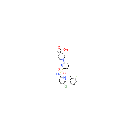 Cc1c(F)cccc1-c1nc(NS(=O)(=O)c2cccc(N3CCC(C)(C(=O)O)CC3)n2)ccc1Cl